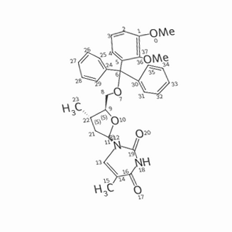 COc1cccc(C(OC[C@H]2O[C@@H](n3cc(C)c(=O)[nH]c3=O)C[C@@H]2C)(c2ccccc2)c2ccccc2)c1OC